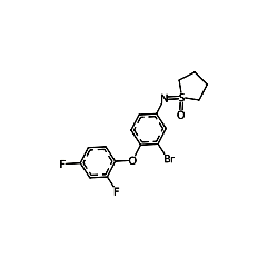 O=S1(=Nc2ccc(Oc3ccc(F)cc3F)c(Br)c2)CCCC1